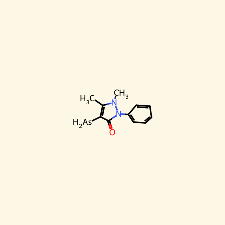 Cc1c([AsH2])c(=O)n(-c2ccccc2)n1C